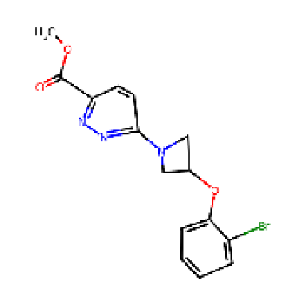 COC(=O)c1ccc(N2CC(Oc3ccccc3Br)C2)nn1